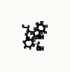 CCC1CN2CCC[C@@H](CO)C2=C2Nc3ccccc3C21